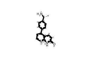 C[C@@H](N)c1ccc(-c2ccnc3[nH]c(=O)ccc23)cc1